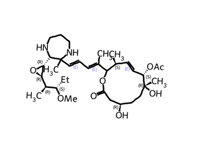 CC[C@H](OC)[C@@H](C)[C@H]1O[C@@H]1C1NCCCNC1(C)/C=C/C=C(\C)C1OC(=O)C[C@H](O)CC[C@@](C)(O)[C@@H](OC(C)=O)/C=C/[C@@H]1C